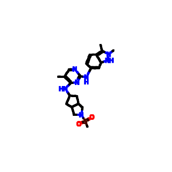 CC1=C2C=CC(Nc3ncc(C)c(NC4CC5CN(S(C)(=O)=O)CC5C4)n3)=CC2NN1C